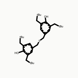 CC(C)(C)Cc1cc(CSCc2cc(CC(C)(C)C)c(O)c(CC(C)(C)C)c2)cc(CC(C)(C)C)c1O